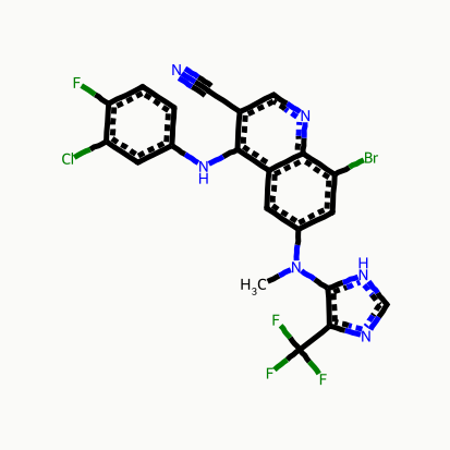 CN(c1cc(Br)c2ncc(C#N)c(Nc3ccc(F)c(Cl)c3)c2c1)c1[nH]cnc1C(F)(F)F